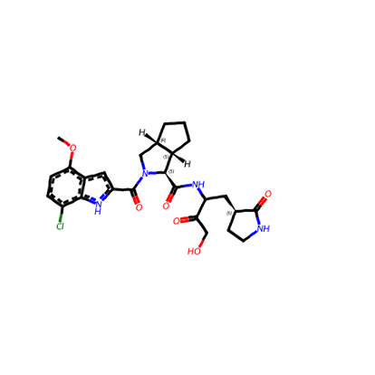 COc1ccc(Cl)c2[nH]c(C(=O)N3C[C@@H]4CCC[C@@H]4[C@H]3C(=O)NC(C[C@@H]3CCNC3=O)C(=O)CO)cc12